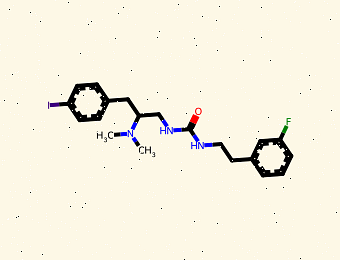 CN(C)C(CNC(=O)NCCc1cccc(F)c1)Cc1ccc(I)cc1